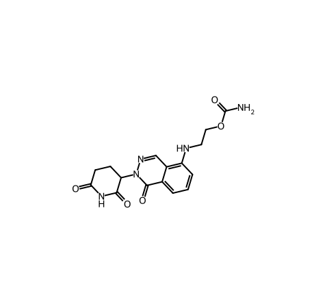 NC(=O)OCCNc1cccc2c(=O)n(C3CCC(=O)NC3=O)ncc12